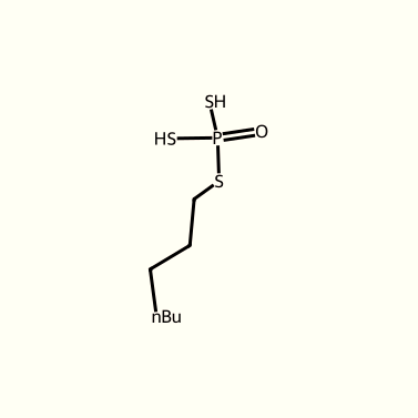 CCCCCCCSP(=O)(S)S